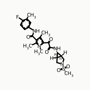 Cc1cc(NC(=O)c2c(C)c(C(=O)C(=O)N[C@@H]3[C@@H]4CN(S(C)(=O)=O)C[C@@H]43)n(C)c2C)ccc1F